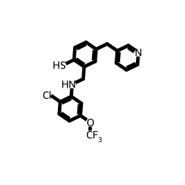 FC(F)(F)Oc1ccc(Cl)c(NCc2cc(Cc3cccnc3)ccc2S)c1